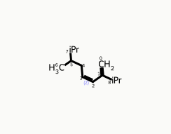 C=C(/C=C\CC(C)C(C)C)C(C)C